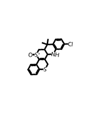 CC1(C)c2ccc(Cl)cc2NC2C3=C(c4ccccc4SC3)[S+]([O-])CC21